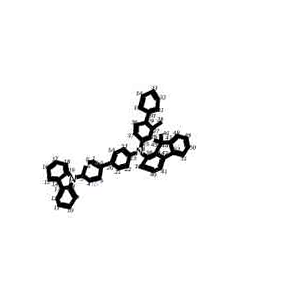 C/C=C(\C=C/C(C)n1c2ccccc2c2ccccc21)c1ccc(N(C2=CC(C)C(c3ccccc3)C=C2)c2cccc3c2C(C)(C)c2ccccc2-3)cc1